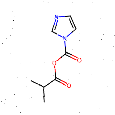 CC(C)C(=O)OC(=O)n1ccnc1